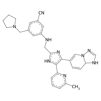 Cc1cccc(-c2[nH]c(CNc3cc(C#N)cc(CN4CCCC4)c3)nc2C2=CN3N=CNC3C=C2)n1